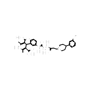 COc1cccc(C2CCN(CCC(=O)NNC(=O)Nc3cccc(C4C(C(=O)O)=C(C)NC(C)=C4C(=O)O)c3)CC2)c1